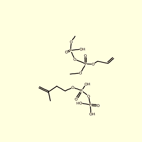 C=C(C)CCOP(=O)(O)OP(=O)(O)O.C=CCOP(=O)(OC)OP(=O)(O)OC